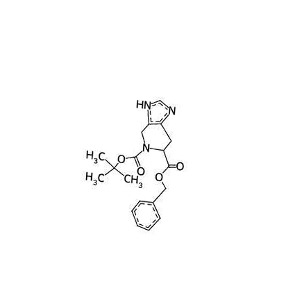 CC(C)(C)OC(=O)N1Cc2[nH]cnc2CC1C(=O)OCc1ccccc1